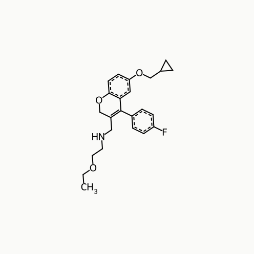 CCOCCNCC1=C(c2ccc(F)cc2)c2cc(OCC3CC3)ccc2OC1